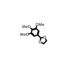 COc1cc(C2OCCO2)cc(OC)c1OC